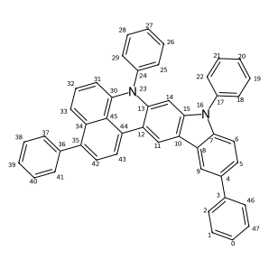 c1ccc(-c2ccc3c(c2)c2cc4c(cc2n3-c2ccccc2)N(c2ccccc2)c2cccc3c(-c5ccccc5)ccc-4c23)cc1